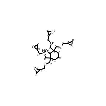 OC1C(COCC2CO2)(COCC2CO2)CCCC1(COCC1CO1)COCC1CO1